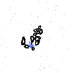 c1ccc(C2=NC(c3cccc(-c4ccccc4)c3)=NC(c3cccc(-c4c(-c5cccc6c5-c5ccccc5C6(c5ccccc5)c5ccccc5)ccc5ccccc45)c3)N2)cc1